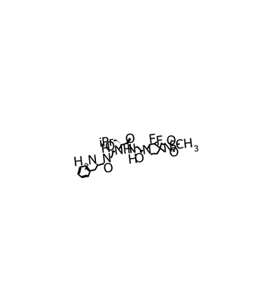 CC(C)C[C@@H](NC(=O)CNC(=O)[C@H](N)Cc1ccccc1)C(=O)NCC(=O)N1CCC2(CN(S(C)(=O)=O)C2)C(F)(F)C1